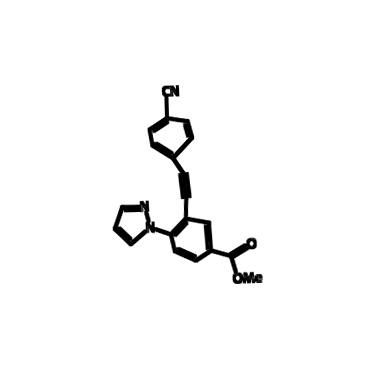 COC(=O)c1ccc(-n2cccn2)c(C#Cc2ccc(C#N)cc2)c1